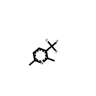 Cc1ccc(C(F)(F)F)c(C)n1